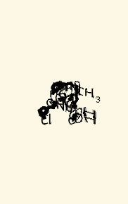 CN(C(=O)NCc1cccc(F)c1Cl)[C@H](COC(=O)Nc1cc(-c2cccc(Cl)c2)on1)C[C@@H](O)COP(=O)(O)O